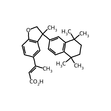 C/C(=C\C(=O)O)c1ccc2c(c1)C(C)(c1ccc3c(c1)C(C)(C)CCC3(C)C)CO2